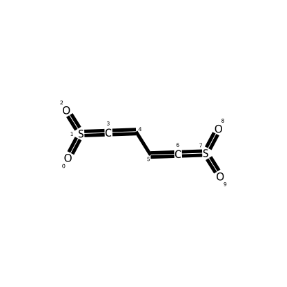 O=S(=O)=C=CC=C=S(=O)=O